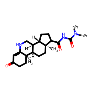 CCCN(CCC)C(=O)NC(=O)C1CC[C@H]2[C@@H]3CNC4=CC(=O)CC[C@]4(C)[C@@H]3CC[C@]12C